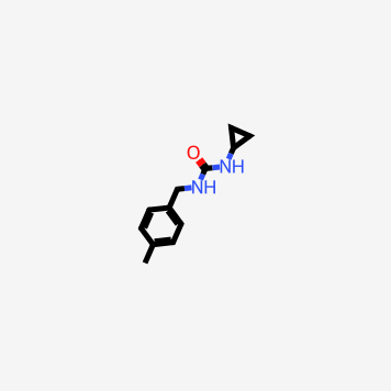 Cc1ccc(CNC(=O)NC2CC2)cc1